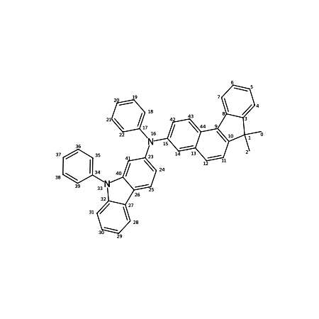 CC1(C)c2ccccc2-c2c1ccc1cc(N(c3ccccc3)c3ccc4c5ccccc5n(-c5ccccc5)c4c3)ccc21